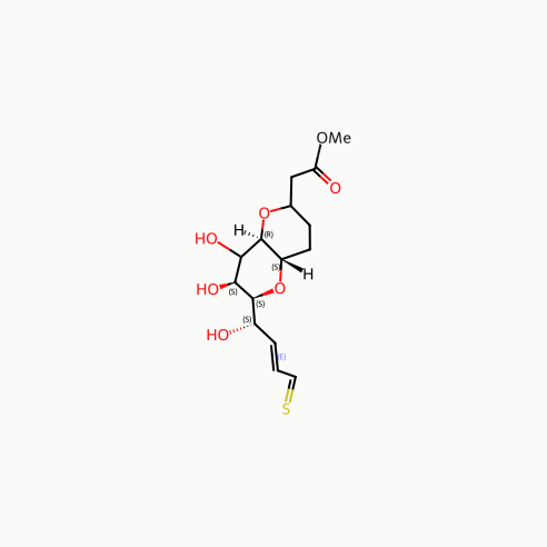 COC(=O)CC1CC[C@@H]2O[C@@H]([C@@H](O)/C=C/C=S)[C@@H](O)C(O)[C@H]2O1